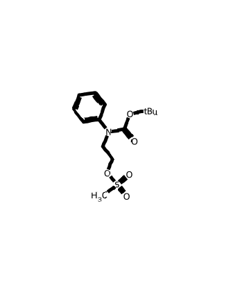 CC(C)(C)OC(=O)N(CCOS(C)(=O)=O)c1ccccc1